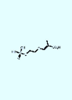 CC(=COCCOP(=O)(O)O)C(=O)O